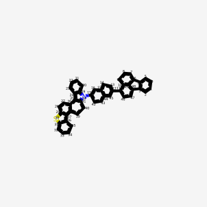 c1ccc2c(c1)-c1cccc3c(-c4ccc5cc(-n6c7ccccc7c7c8ccc9sc%10ccccc%10c9c8ccc76)ccc5c4)ccc-2c13